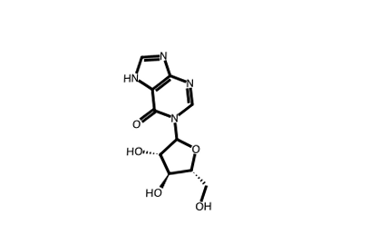 O=c1c2[nH]cnc2ncn1C1O[C@H](CO)[C@@H](O)[C@@H]1O